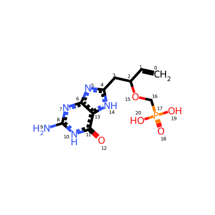 C=CC(Cc1nc2nc(N)[nH]c(=O)c2[nH]1)OCP(=O)(O)O